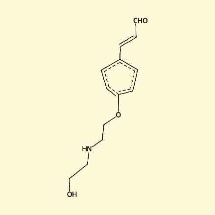 O=C/C=C/c1ccc(OCCNCCO)cc1